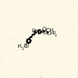 COc1ccc(/C=C/C=C/C(=O)N2CCN(C(=O)OC(C)C)CC2)cc1